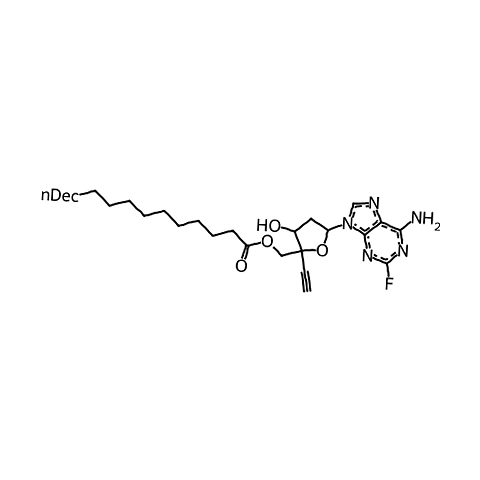 C#CC1(COC(=O)CCCCCCCCCCCCCCCCCCC)OC(n2cnc3c(N)nc(F)nc32)CC1O